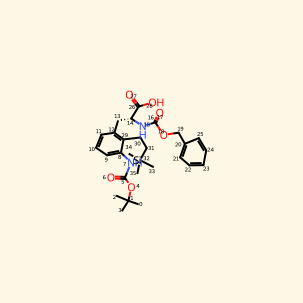 CC(C)(C)OC(=O)Nc1cccc(C[C@@H](NC(=O)OCc2ccccc2)C(=O)O)c1CC[Si](C)(C)C